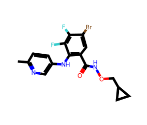 Cc1ccc(Nc2c(C(=O)NOCC3CC3)cc(Br)c(F)c2F)cn1